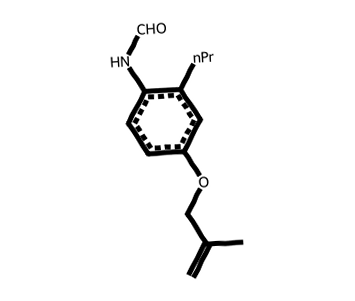 C=C(C)COc1ccc(NC=O)c(CCC)c1